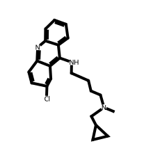 CN(CCCCNc1c2ccccc2nc2ccc(Cl)cc12)CC1CC1